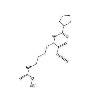 CC(C)(C)OC(=O)NCCCCC(NC(=O)C1CCCC1)C(=O)C=[N+]=[N-]